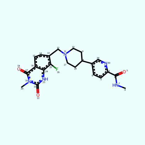 CNC(=O)c1ccc(C2CCN(Cc3ccc4c(=O)n(C)c(=O)[nH]c4c3F)CC2)cn1